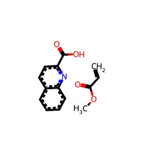 C=CC(=O)OC.O=C(O)c1ccc2ccccc2n1